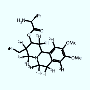 [2H]c1c(OC)c(OC)c([2H])c2c1C1N(C([2H])([2H])C2([2H])[2H])C([2H])([2H])C([2H])(CC(C)C)C(OC(=O)[C@@H](N)C(C)C)C1([2H])[2H]